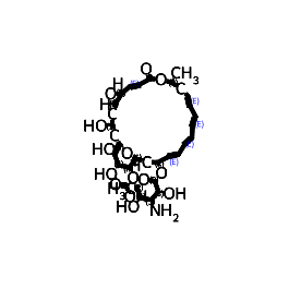 C[C@@H]1C/C=C/C=C/C=C/C=C/[C@H](O[C@@H]2O[C@H](C)[C@@H](O)[C@H](N)[C@@H]2O)C[C@@H]2O[C@](O)(C[C@@H](O)C[C@H]3O[C@@H]3/C=C/C(=O)O1)C[C@H](O)[C@H]2OC(=O)O